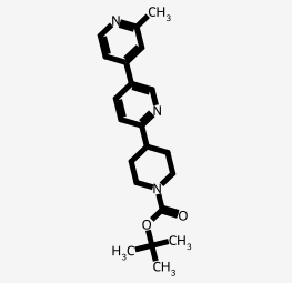 Cc1cc(-c2ccc(C3CCN(C(=O)OC(C)(C)C)CC3)nc2)ccn1